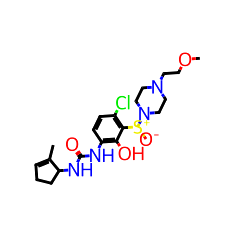 COCCN1CCN([S+]([O-])c2c(Cl)ccc(NC(=O)NC3CCC=C3C)c2O)CC1